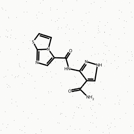 NC(=O)c1c[nH]nc1NC(=O)c1cnc2sccn12